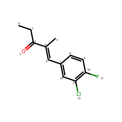 CCC(=O)/C(C)=C/c1ccc(F)c(Cl)c1